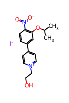 CC(C)Oc1cc(-c2cc[n+](CCO)cc2)ccc1[N+](=O)[O-].[I-]